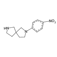 O=[N+]([O-])c1ccc(N2CCC3(CCNC3)C2)cc1